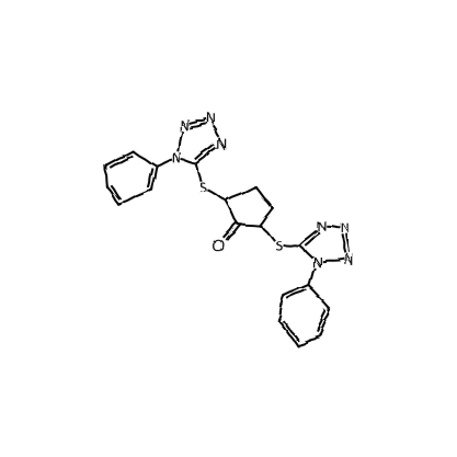 O=C1C(Sc2nnnn2-c2ccccc2)CCC1Sc1nnnn1-c1ccccc1